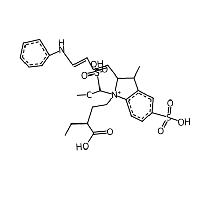 CCC(CC[N+]1(C(CC)S(=O)(=O)O)c2ccc(S(=O)(=O)O)cc2C(C)C1C=CC=CNc1ccccc1)C(=O)O